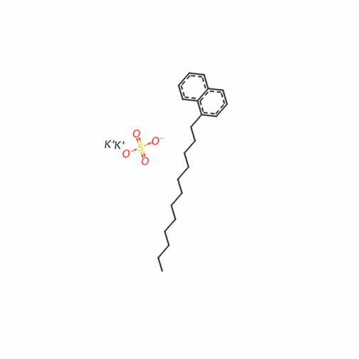 CCCCCCCCCCCCc1cccc2ccccc12.O=S(=O)([O-])[O-].[K+].[K+]